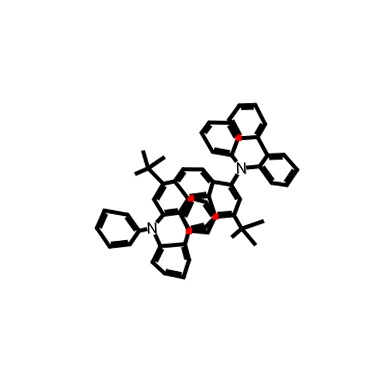 CC(C)(C)c1cc(N(c2ccccc2)c2ccccc2-c2ccccc2)c2ccc3c(C(C)(C)C)cc(N(c4ccccc4)c4ccccc4-c4ccccc4)c4ccc1c2c43